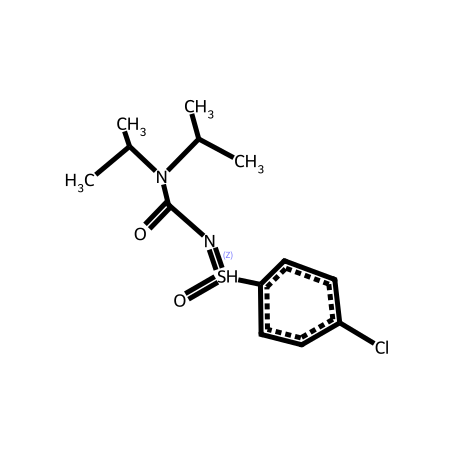 CC(C)N(C(=O)/N=[SH](=O)/c1ccc(Cl)cc1)C(C)C